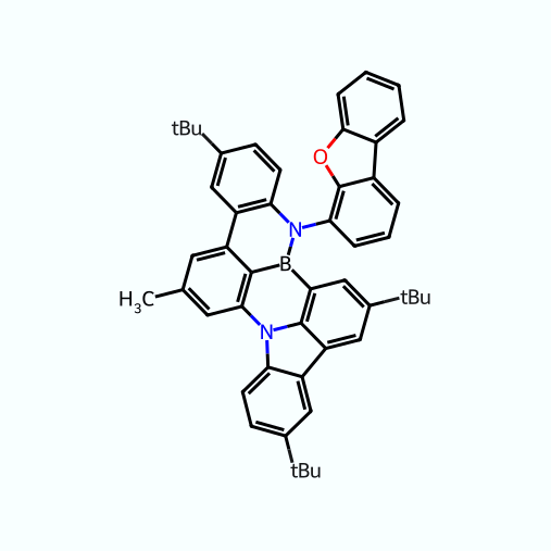 Cc1cc2c3c(c1)-n1c4ccc(C(C)(C)C)cc4c4cc(C(C)(C)C)cc(c41)B3N(c1cccc3c1oc1ccccc13)c1ccc(C(C)(C)C)cc1-2